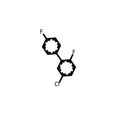 Fc1ccc(-c2cc(Cl)ccc2F)cc1